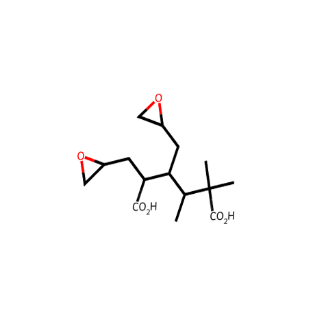 CC(C(CC1CO1)C(CC1CO1)C(=O)O)C(C)(C)C(=O)O